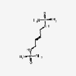 NP(N)(=O)NCC=CCNP(N)(N)=O